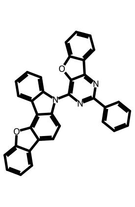 c1ccc(-c2nc(-n3c4ccccc4c4c5oc6ccccc6c5ccc43)c3oc4ccccc4c3n2)cc1